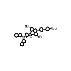 CC(C)(C)c1ccc(-c2ccc(-c3cc4cc(C(C)(C)C)cc5c6c7ccc(N(c8ccc9ccccc9c8)c8ccc9ccccc9c8)cc7oc6c6cc(C(C)(C)C)cc3c6c45)cc2)cc1